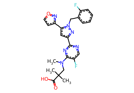 CN(CC(C)(C)C(=O)O)c1nc(-c2cc(-c3ccon3)n(Cc3ccccc3F)n2)ncc1F